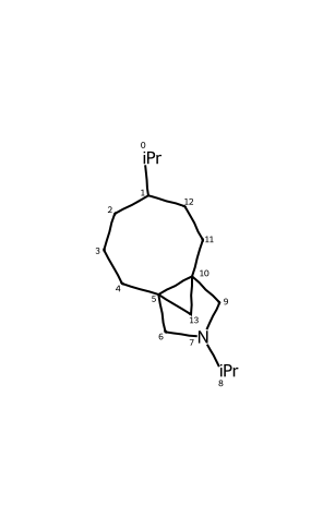 CC(C)C1CCCC23CN(C(C)C)CC2(CC1)C3